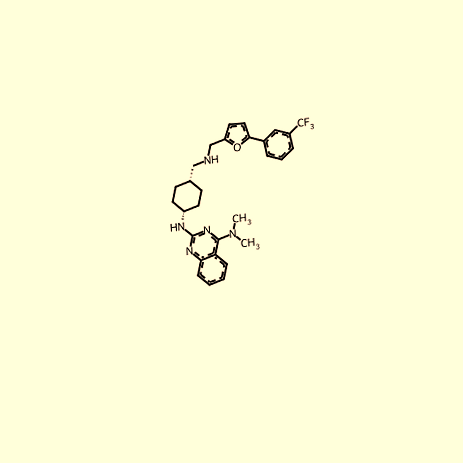 CN(C)c1nc(N[C@H]2CC[C@@H](CNCc3ccc(-c4cccc(C(F)(F)F)c4)o3)CC2)nc2ccccc12